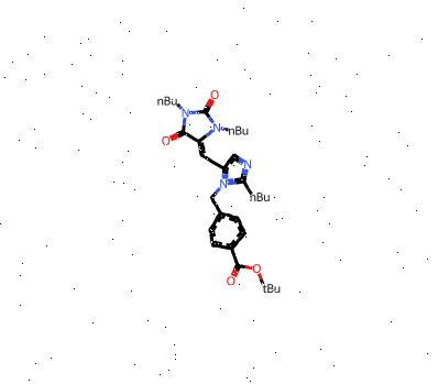 CCCCc1ncc(C=C2C(=O)N(CCCC)C(=O)N2CCCC)n1Cc1ccc(C(=O)OC(C)(C)C)cc1